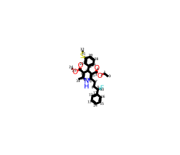 CCOC(=O)C1=C(CCC(F)c2ccccc2)NC(C)=C(C(=O)OC)C1c1cccc(SC)c1